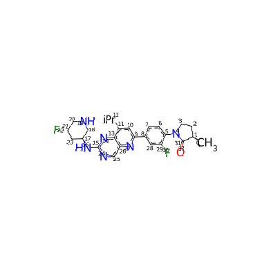 CC1CCN(c2ccc(-c3cc(C(C)C)c4nc(N[C@@H]5CNC[C@@H](F)C5)ncc4n3)cc2F)C1=O